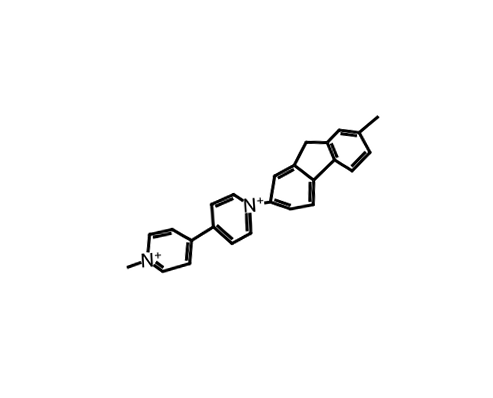 Cc1ccc2c(c1)Cc1cc(-[n+]3ccc(-c4cc[n+](C)cc4)cc3)ccc1-2